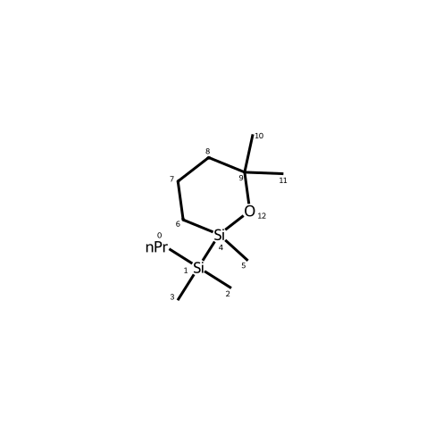 [CH2]CC[Si](C)(C)[Si]1(C)CCCC(C)(C)O1